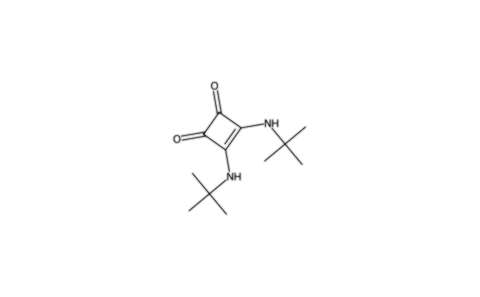 CC(C)(C)Nc1c(NC(C)(C)C)c(=O)c1=O